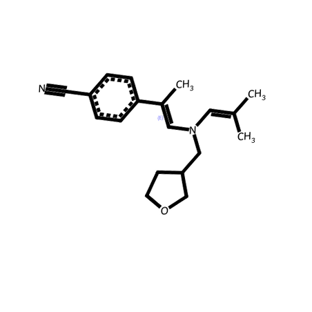 CC(C)=CN(/C=C(\C)c1ccc(C#N)cc1)CC1CCOC1